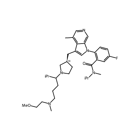 COCCN(C)CCCC(C(C)C)N1CC[C@H](Cc2cn(-c3ccc(F)cc3C(=O)N(C)C(C)C)c3cncc(C)c23)C1